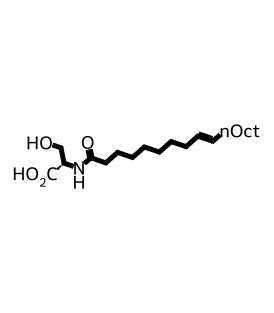 CCCCCCCCC=CCCCCCCCC(=O)N[C@@H](CO)C(=O)O